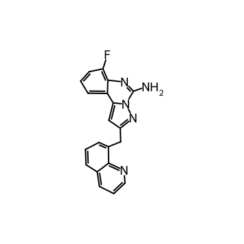 Nc1nc2c(F)cccc2c2cc(Cc3cccc4cccnc34)nn12